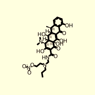 CCCN(CCO[N+](=O)[O-])CNC(=O)C1=C(O)[C@@H](N(C)C)[C@@H]2[C@@H](O)[C@H]3C(=C(O)[C@]2(O)C1=O)C(=O)c1c(O)cccc1[C@@H]3C